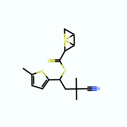 Cc1ccc(C(CC(C)(C)C#N)SC(=S)C2C3C4CS423)s1